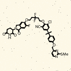 CSc1nccc(COc2ccc(C(C)(C)c3cc(Cl)c(OCCC(F)(F)CCOc4cc5c(cc4F)C(=O)N(C4CCC(=O)NC4=O)C5)c(C#N)c3)cc2)n1